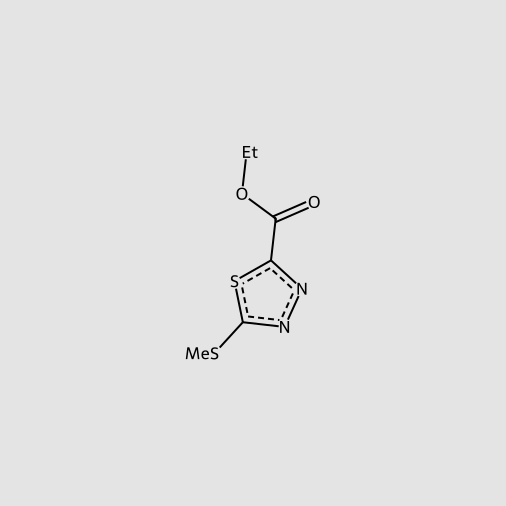 [CH2]Sc1nnc(C(=O)OCC)s1